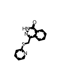 O=c1[nH]nc(CSc2ccccn2)c2ccccc12